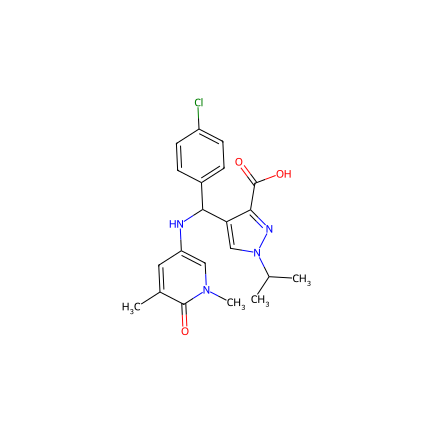 Cc1cc(NC(c2ccc(Cl)cc2)c2cn(C(C)C)nc2C(=O)O)cn(C)c1=O